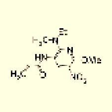 [CH2]CN(C)c1nc(OC)c([N+](=O)[O-])cc1NC(=O)C=C